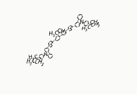 CC(C)(C)c1ccc(-n2c3ccccc3c3cc(-c4ccc(-c5ccc6c(c5)C(C)(C)c5cc(-c7ccc(-c8ccc9c(c8)c8ccccc8n9-c8ccc(C(C)(C)C)cc8)s7)ccc5-6)s4)ccc32)cc1